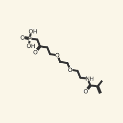 C=C(C)C(=O)NCCOCCOCCC(=O)CP(=O)(O)O